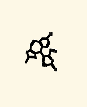 CSc1nc(=O)[nH]cc1C1c2ccc(Cl)cc2C=Cc2sc(C)nc21